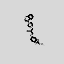 Cc1nc2cc(OC[C@H](O)CN3CCN(N(C=O)c4ccccc4F)CC3)ccc2s1